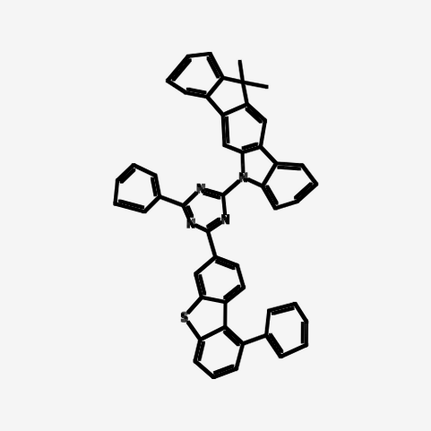 CC1(C)c2ccccc2-c2cc3c(cc21)c1ccccc1n3-c1nc(-c2ccccc2)nc(-c2ccc3c(c2)sc2cccc(-c4ccccc4)c23)n1